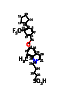 Cc1cc(OCc2ccc(C3CCCC3)c(C(F)(F)F)c2)cc2ccn(CCCCS(=O)(=O)O)c12